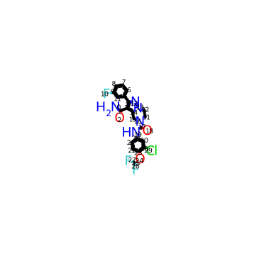 NC(=O)c1c(-c2cccc(F)c2)nn2c1CN(C(=O)Nc1ccc(OC(F)F)c(Cl)c1)CC2